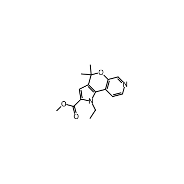 CCn1c(C(=O)OC)cc2c1-c1ccncc1OC2(C)C